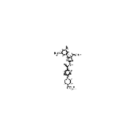 CCOC(=O)C1CCN(c2cnc(C(=O)Nc3nc(-c4cc(F)cc(C(F)(F)F)c4)c(COC(C)=O)s3)cn2)CC1